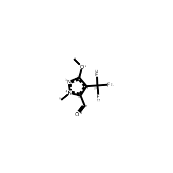 COc1nn(C)c(C=O)c1C(F)(F)F